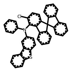 Clc1ccc2c(c1N(c1ccccc1)c1ccc3sc4ccccc4c3c1)-c1ccccc1C21c2ccccc2-c2ccccc21